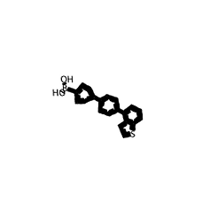 OB(O)c1ccc(-c2ccc(-c3cccc4sccc34)cc2)cc1